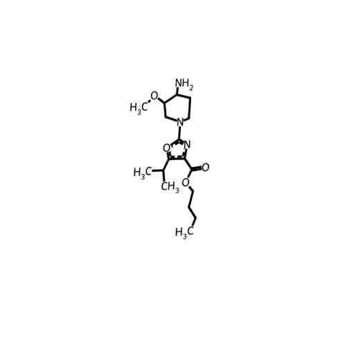 CCCCOC(=O)c1nc(N2CCC(N)C(OC)C2)oc1C(C)C